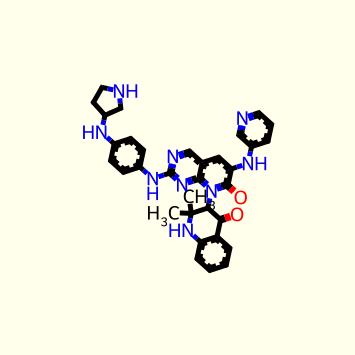 CC1(C)Nc2ccccc2C(=O)C1n1c(=O)c(Nc2cccnc2)cc2cnc(Nc3ccc(NC4CCNC4)cc3)nc21